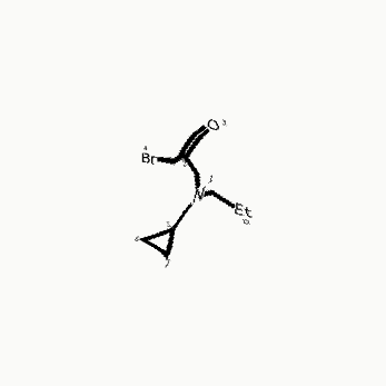 CCN(C(=O)Br)C1CC1